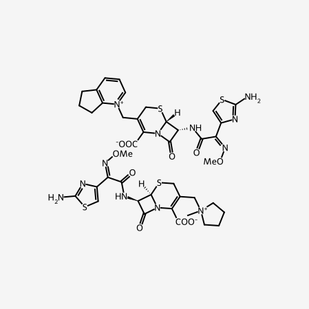 CO/N=C(\C(=O)N[C@@H]1C(=O)N2C(C(=O)[O-])=C(C[N+]3(C)CCCC3)CS[C@H]12)c1csc(N)n1.CO/N=C(\C(=O)N[C@@H]1C(=O)N2C(C(=O)[O-])=C(C[n+]3cccc4c3CCC4)CS[C@H]12)c1csc(N)n1